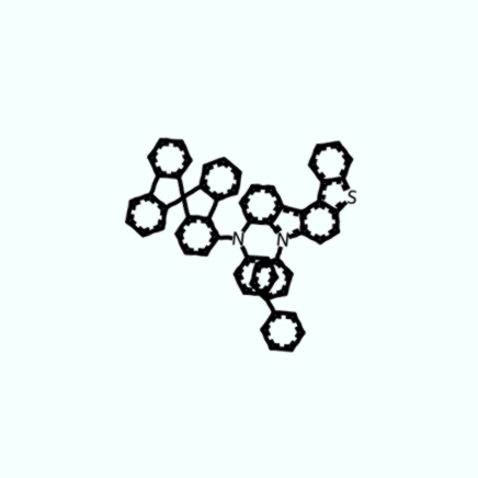 c1ccc(-c2ccc(N(c3cccc4c3-c3ccccc3C43c4ccccc4-c4ccccc43)c3cccc4c5c6c(ccc5n(-c5ccccc5)c34)sc3ccccc36)cc2)cc1